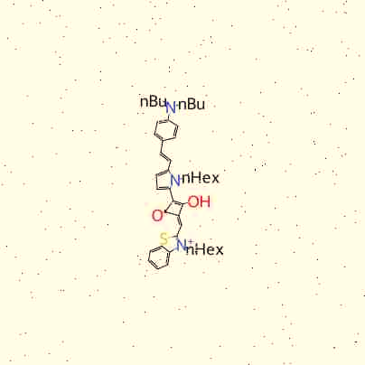 CCCCCCn1c(/C=C/c2ccc(N(CCCC)CCCC)cc2)ccc1C1=C(O)/C(=C/c2sc3ccccc3[n+]2CCCCCC)C1=O